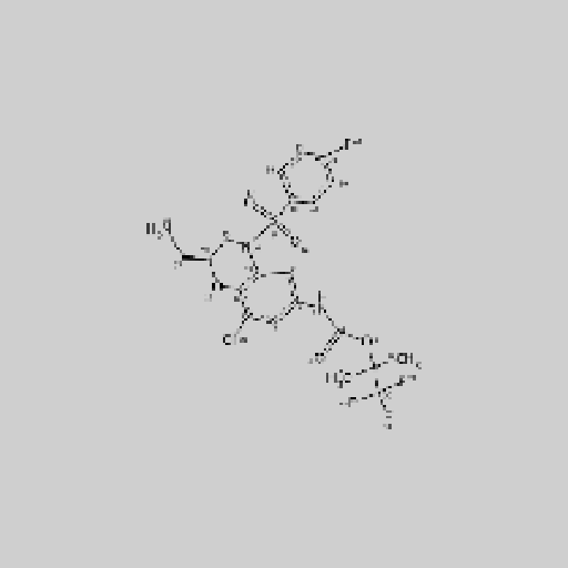 CC(C)(OC(=O)Nc1cc(Cl)c2c(c1)N(S(=O)(=O)c1ccc(F)cc1)C[C@H](CN)O2)C(F)(F)F